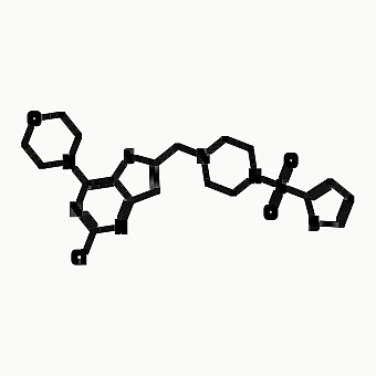 O=S(=O)(c1cccs1)N1CCN(Cc2cc3nc(Cl)nc(N4CCOCC4)c3s2)CC1